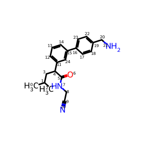 CC(C)CC(C(=O)NCC#N)c1cccc(-c2ccc(CN)cc2)c1